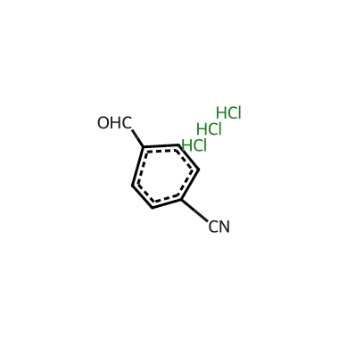 Cl.Cl.Cl.N#Cc1ccc(C=O)cc1